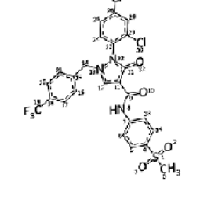 CS(=O)(=O)c1ccc(NC(=O)c2cn(Cc3ccc(C(F)(F)F)cc3)n(-c3ccc(Cl)cc3Cl)c2=O)cc1